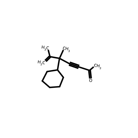 C=C(C)C(C)(C#CC(C)=O)C1CCCCC1